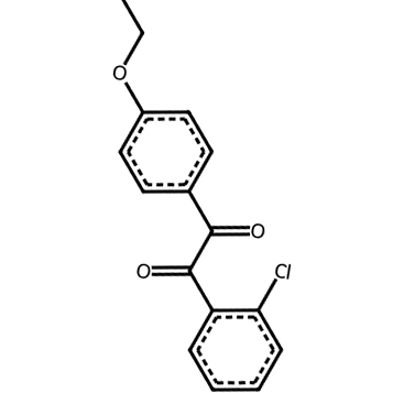 CCOc1ccc(C(=O)C(=O)c2ccccc2Cl)cc1